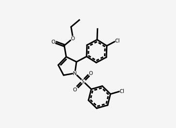 CCOC(=O)C1=CCN(S(=O)(=O)c2cccc(Cl)c2)C1c1ccc(Cl)c(C)c1